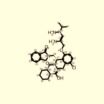 CC(C)N(N)/C=C(\N)COc1ccc(Cl)c2c1[C@@H](CN1Cc3ccccc3C1=O)N(C(=O)[C@@H]1CCCC[C@@H]1C(=O)O)CC2